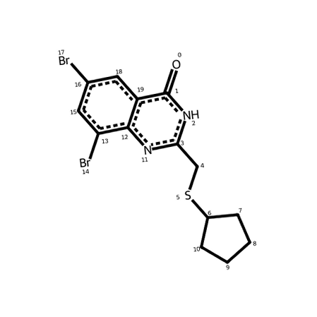 O=c1[nH]c(CSC2CCCC2)nc2c(Br)cc(Br)cc12